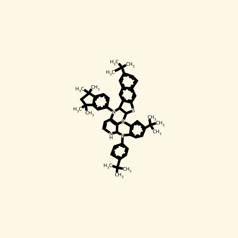 CC(C)(C)c1ccc(N2c3ccc(C(C)(C)C)cc3B3C4=C(C=CNC42)N(c2ccc4c(c2)C(C)(C)CC4(C)C)C2c4cc5cc(C(C)(C)C)ccc5cc4SC32)cc1